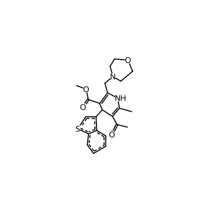 COC(=O)C1=C(CN2CCOCC2)NC(C)=C(C(C)=O)C1c1csc2ccccc12